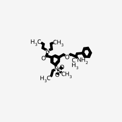 CCCN(CCC)C(=O)c1cc(COCC(C)(N)Cc2ccccc2)cc(N(CCC)S(C)(=O)=O)c1